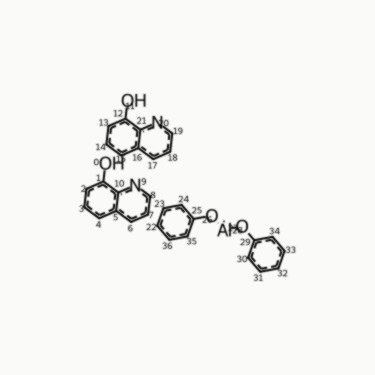 Oc1cccc2cccnc12.Oc1cccc2cccnc12.c1ccc([O][Al][O]c2ccccc2)cc1